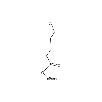 CCCCCOC(=O)CCCCCl